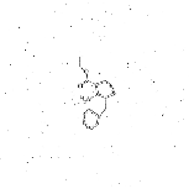 CCOC(=O)c1cccc(Cc2ccccc2)c1N